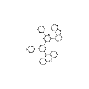 c1ccc(-c2nc(-c3cc(-c4ccncc4)cc(N4c5ccccc5Oc5ccccc54)c3)cc(-c3cccc4oc5ccccc5c34)n2)cc1